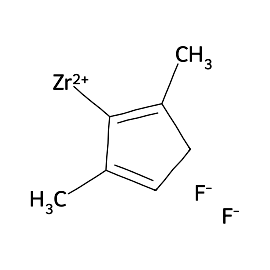 CC1=CCC(C)=[C]1[Zr+2].[F-].[F-]